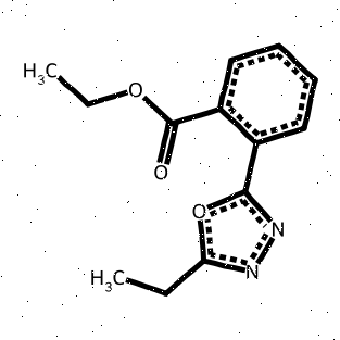 CCOC(=O)c1ccccc1-c1nnc(CC)o1